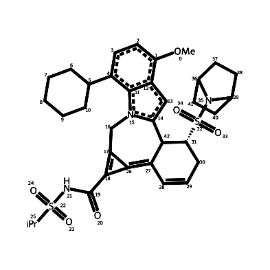 COc1ccc(C2CCCCC2)c2c1cc1n2CC2=C(C(=O)NS(=O)(=O)C(C)C)C2=C2C=CC[C@@H](S(=O)(=O)N3C4CCC3CC4)C21